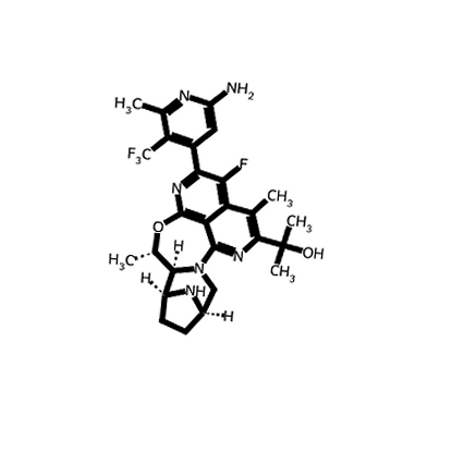 Cc1nc(N)cc(-c2nc3c4c(nc(C(C)(C)O)c(C)c4c2F)N2C[C@H]4CC[C@H](N4)[C@H]2[C@H](C)O3)c1C(F)(F)F